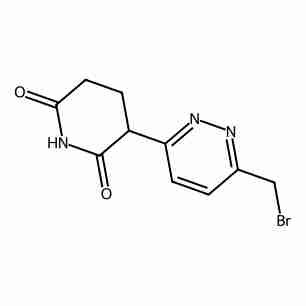 O=C1CCC(c2ccc(CBr)nn2)C(=O)N1